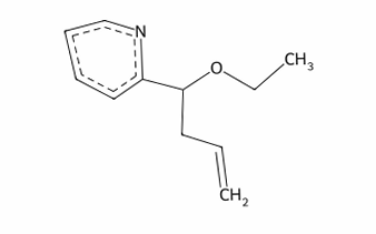 C=CCC(OCC)c1ccccn1